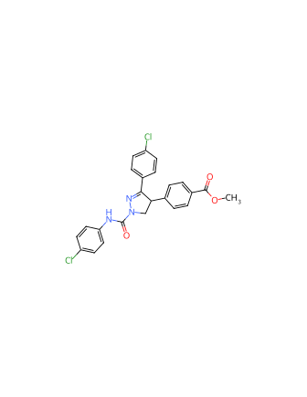 COC(=O)c1ccc(C2CN(C(=O)Nc3ccc(Cl)cc3)N=C2c2ccc(Cl)cc2)cc1